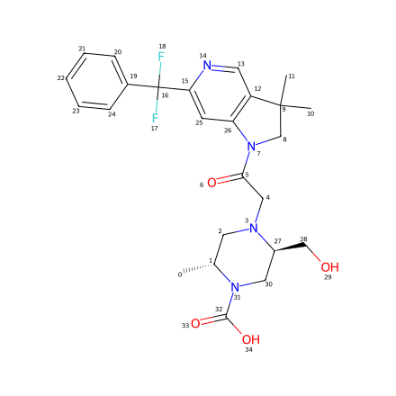 C[C@@H]1CN(CC(=O)N2CC(C)(C)c3cnc(C(F)(F)c4ccccc4)cc32)[C@@H](CO)CN1C(=O)O